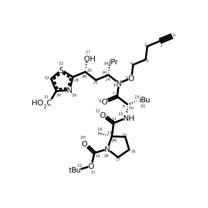 C#CCCCON(C(=O)[C@@H](NC(=O)[C@@]1(C)CCCN1C(=O)OC(C)(C)C)[C@@H](C)CC)[C@H](C[C@@H](O)c1nc(C(=O)O)cs1)C(C)C